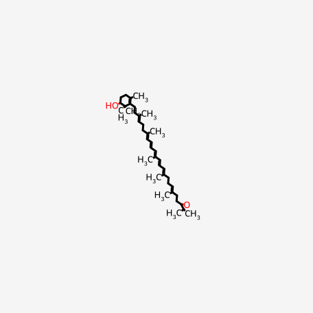 CC1=C(CC/C(C)=C/CC/C(C)=C/C=C/C=C(C)/C=C/C=C(\C)CC/C=C(\C)CCC2OC2(C)C)C(C)(C)C(O)CC1